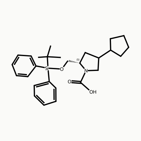 CC(C)(C)[Si](OC[C@@H]1CC(C2CCCC2)CN1C(=O)O)(c1ccccc1)c1ccccc1